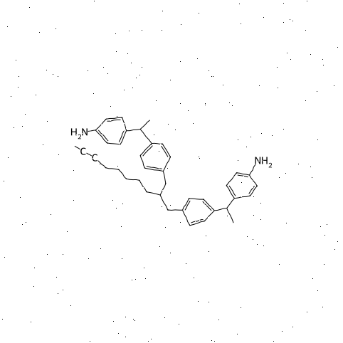 CCCCCCCCC(Cc1ccc(C(C)c2ccc(N)cc2)cc1)Cc1ccc(C(C)c2ccc(N)cc2)cc1